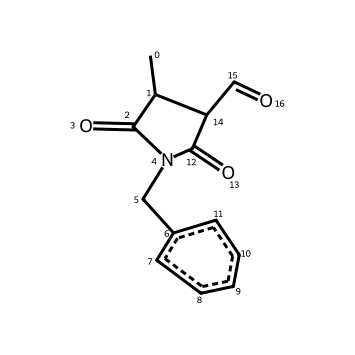 CC1C(=O)N(Cc2ccccc2)C(=O)C1C=O